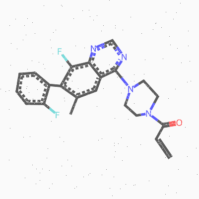 C=CC(=O)N1CCN(c2ncnc3c(F)c(-c4ccccc4F)c(C)cc23)CC1